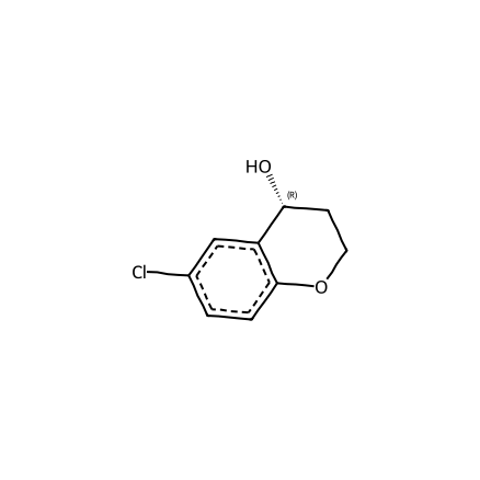 O[C@@H]1CCOc2ccc(Cl)cc21